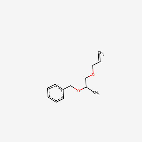 C=CCOCC(C)OCc1ccccc1